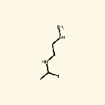 BNCCNC(C)I